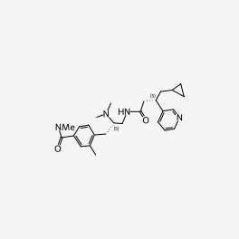 CNC(=O)c1ccc(C[C@@H](CNC(=O)C[C@H](CC2CC2)c2cccnc2)N(C)C)c(C)c1